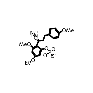 CCOc1cc(OC)c(C(=O)CCc2ccc(OC)cc2)c(OP(=O)([O-])[O-])c1.[Na+].[Na+]